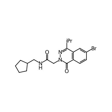 CC(C)c1nn(CC(=O)NCC2CCCC2)c(=O)c2ccc(Br)cc12